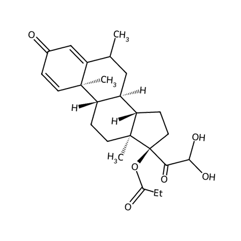 CCC(=O)O[C@]1(C(=O)C(O)O)CC[C@H]2[C@@H]3CC(C)C4=CC(=O)C=C[C@]4(C)[C@H]3CC[C@@]21C